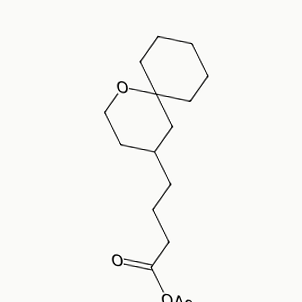 CC(=O)OC(=O)CCCC1CCOC2(CCCCC2)C1